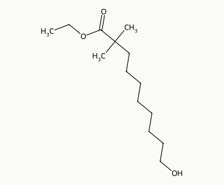 CCOC(=O)C(C)(C)CCCCCCCCO